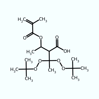 C=C(C)C(=O)OC(C)C(C(=O)O)C(C)(OOC(C)(C)C)OOC(C)(C)C